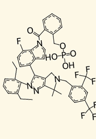 CCc1cccc(CC)c1-n1nc2c(c1-c1ccc(F)c3c1ccn3C(=O)c1ccccc1COP(=O)(O)O)CN(Cc1ccc(C(F)(F)F)cc1C(F)(F)F)C2(C)C